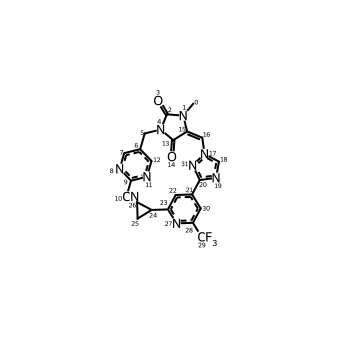 CN1C(=O)N(Cc2cnc(C#N)nc2)C(=O)C1=Cn1cnc(-c2cc(C3CC3)nc(C(F)(F)F)c2)n1